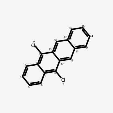 Clc1c2ccccc2c(Cl)c2cc3ccccc3cc12